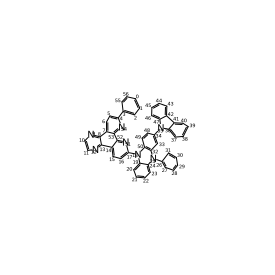 c1ccc(-c2ccc3c4nccnc4c4ccc(N5c6ccccc6N(c6ccccc6)c6cc(-n7c8ccccc8c8ccccc87)ccc65)nc4c3n2)cc1